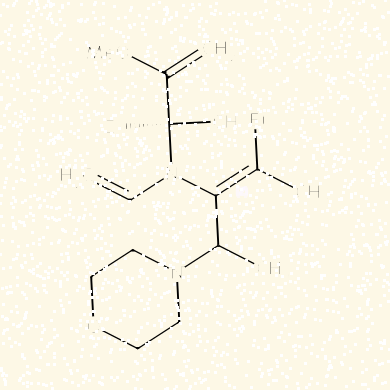 C=CN(/C(=C(/C)CC)C(C)N1CCOCC1)[C@@](C)(CC)C(=C)OC